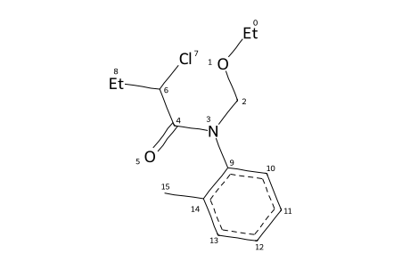 CCOCN(C(=O)C(Cl)CC)c1ccccc1C